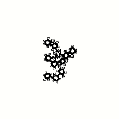 c1ccc(-c2cccc(-c3cccc(-n4c5ccccc5c5c4ccc4c6ccccc6n(-c6nc(-c7ccc8oc9ccccc9c8c7)nc(-c7ccc8oc9ccccc9c8c7)n6)c45)c3)n2)cc1